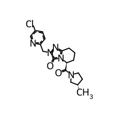 C[C@H]1CCN(C(=O)[C@@H]2CCCc3nn(Cc4ccc(Cl)cn4)c(=O)n32)C1